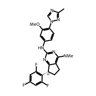 CNc1nc(Nc2ccc(-n3cnc(C)n3)c(OC)c2)nc2c1CC[C@@H]2c1c(F)cc(F)cc1F